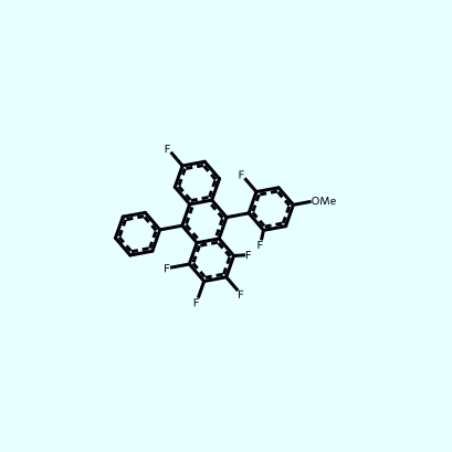 COc1cc(F)c(-c2c3ccc(F)cc3c(-c3ccccc3)c3c(F)c(F)c(F)c(F)c23)c(F)c1